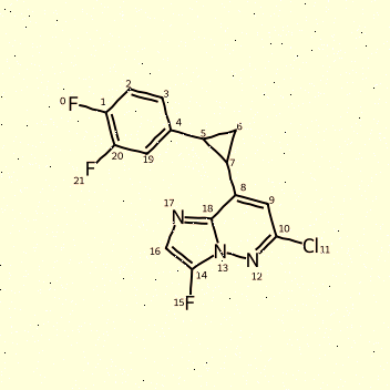 Fc1ccc(C2CC2c2cc(Cl)nn3c(F)cnc23)cc1F